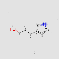 OCCCc1cc[nH]c1